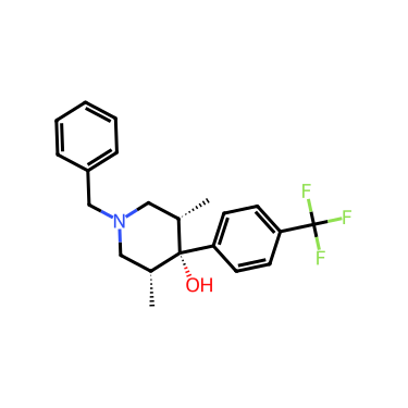 C[C@@H]1CN(Cc2ccccc2)C[C@H](C)[C@@]1(O)c1ccc(C(F)(F)F)cc1